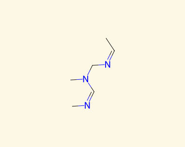 C/C=N\CN(C)/C=N\C